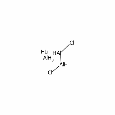 [AlH3].[Cl][AlH][AlH][Cl].[LiH]